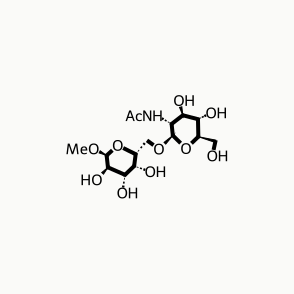 CO[C@H]1O[C@H](CO[C@@H]2O[C@H](CO)[C@@H](O)[C@H](O)[C@H]2NC(C)=O)[C@H](O)[C@H](O)[C@H]1O